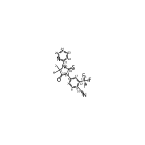 CC1(C)C(=O)N(c2ccc(C#N)c(C(F)(F)F)c2)C(=S)N1c1ccccn1